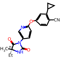 CC[C@@]1(C)NC(=O)N(c2ccc(Oc3ccc(C#N)c(C4CC4)c3)nc2)C1=O